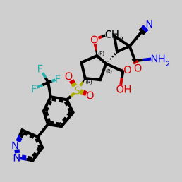 CO[C@@H]1C[C@H](S(=O)(=O)c2ccc(-c3ccnnc3)cc2C(F)(F)F)C[C@@]1(C(=O)O)C1CC1(C#N)C(N)=O